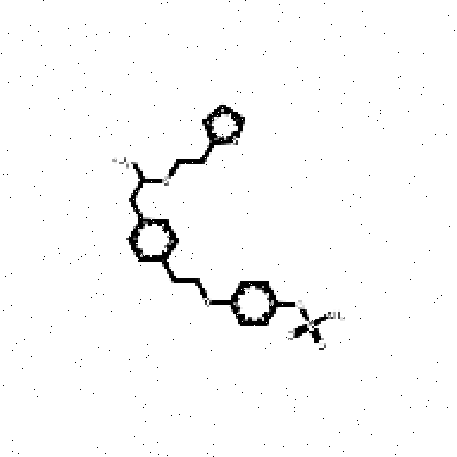 CS(=O)(=O)Oc1ccc(OCCc2ccc(CC(SCCc3cccs3)C(=O)O)cc2)cc1